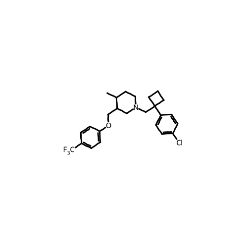 CC1CCN(CC2(c3ccc(Cl)cc3)CCC2)CC1COc1ccc(C(F)(F)F)cc1